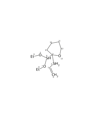 C=C[SiH2]C1([SiH](OCC)OCC)CCCCO1